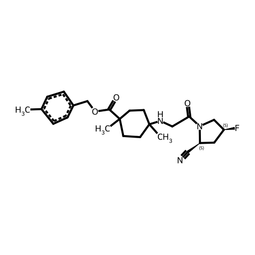 Cc1ccc(COC(=O)C2(C)CCC(C)(NCC(=O)N3C[C@@H](F)C[C@H]3C#N)CC2)cc1